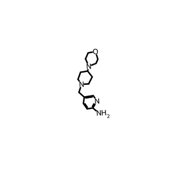 Nc1ccc(CN2CCC(N3CCOCC3)CC2)cn1